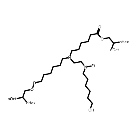 CCCCCCCCC(CCCCCC)COOCCCCCCN(CCCCCC(=O)OCC(CCCCCC)CCCCCCCC)CCN(CC)CCCCCCO